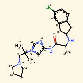 CCCC(NC1Cc2ccc(Cl)cc2C1)C(=O)Nc1cn(C(C)(C)CN2CCCC2)cn1